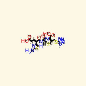 Cn1nnnc1SCC1=C(C(=O)O)N2C(=O)C(NC(=O)C(=CCC(=O)O)c3csc(N)n3)[C@@H]2SC1